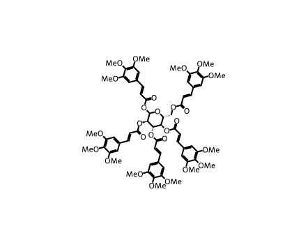 COc1cc(/C=C/C(=O)OC[C@H]2OC(OC(=O)/C=C/c3cc(OC)c(OC)c(OC)c3)[C@H](OC(=O)/C=C/c3cc(OC)c(OC)c(OC)c3)[C@@H](OC(=O)/C=C/c3cc(OC)c(OC)c(OC)c3)[C@@H]2OC(=O)/C=C/c2cc(OC)c(OC)c(OC)c2)cc(OC)c1OC